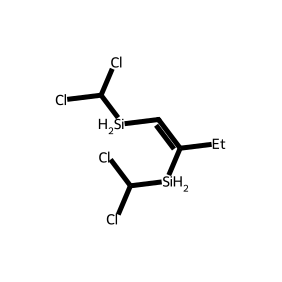 CCC(=C[SiH2]C(Cl)Cl)[SiH2]C(Cl)Cl